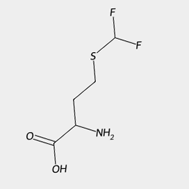 NC(CCSC(F)F)C(=O)O